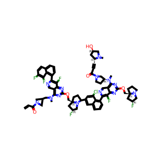 C=CC(=O)N1CC(CN(C)c2nc(OC[C@@]34CCC(c5cc(Cl)c6c(-c7ncc8c(N(C)[C@@H]9CCN(C(=O)C#C[C@@H]%10C[C@@H](O)CN%10C)C9)nc(OC[C@@]9%10CCCN9C[C@H](F)C%10)nc8c7F)cccc6c5)N3C[C@H](F)C4)nc3c(F)c(-c4cccc5ccc(F)c(F)c45)ncc23)C1